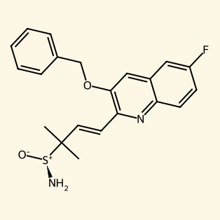 CC(C)(/C=C/c1nc2ccc(F)cc2cc1OCc1ccccc1)[S@@+](N)[O-]